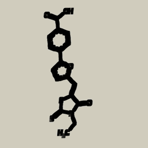 CCN1C(=O)C(=Cc2ccc(-c3ccc(C(=O)O)cc3)o2)SC1=S